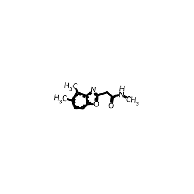 CNC(=O)Cc1nc2c(C)c(C)ccc2o1